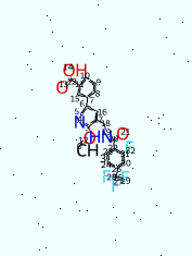 CCOc1ncc(-c2cccc(C(=O)O)c2)cc1CNC(=O)c1ccc(C(F)(F)F)cc1F